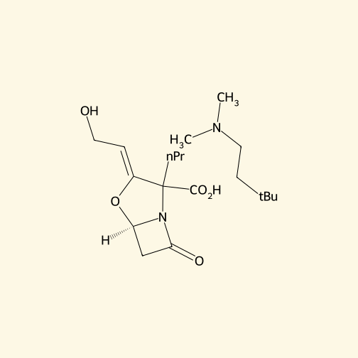 CCCC1(C(=O)O)C(=CCO)O[C@@H]2CC(=O)N21.CN(C)CCC(C)(C)C